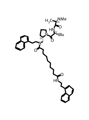 CN[C@@H](C)C(=O)N[C@H](C(=O)N1CCC[C@H]1CN(CCc1cccc2ccccc12)C(=O)CCCCCCCCC(=O)NCCc1cccc2ccccc12)C(C)(C)C